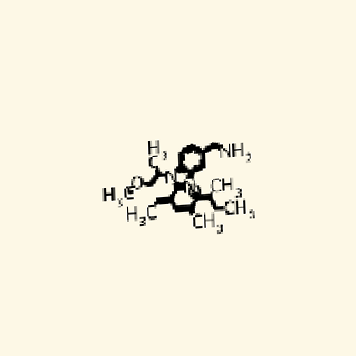 C/C=C(\C=C(\C)C(=O)[C@H](C)CC)c1nc2cc(CN)ccc2n1C(C)COC